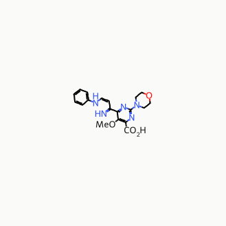 COc1c(C(=N)/C=C\Nc2ccccc2)nc(N2CCOCC2)nc1C(=O)O